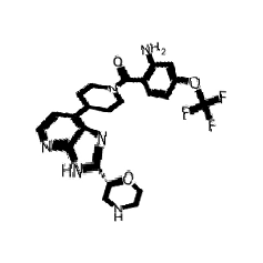 Nc1cc(OC(F)(F)F)ccc1C(=O)N1CCC(c2ccnc3[nH]c([C@H]4CNCCO4)nc23)CC1